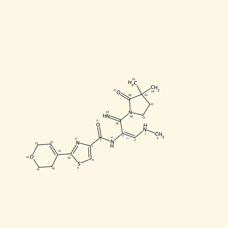 CN/C=C(/NC(=O)c1csc(C2=CCOCC2)n1)C(=N)N1CCC(C)(C)C1=O